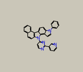 c1ccc(-n2ccc3c2ccc2c4c5ccccc5ccc4n(-c4ccnc(-c5cccnc5)n4)c23)cc1